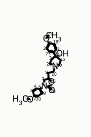 COc1ccc(N2CC(CCN3CCC(O)(c4ccc(OC)cc4)CC3)OC2=O)cc1